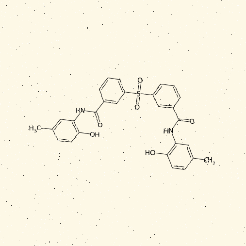 Cc1ccc(O)c(NC(=O)c2cccc(S(=O)(=O)c3cccc(C(=O)Nc4cc(C)ccc4O)c3)c2)c1